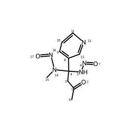 CC(=O)CC(NN=O)(c1cccnc1)N(C)N=O